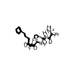 CC(C)C(C(=O)C(F)(F)C(=O)CCCc1ccccc1)N1CCC[C@H]1C(=O)NC(=O)[C@@H](N)C(C)C